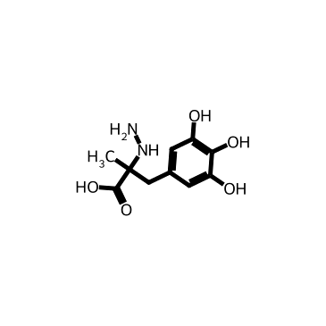 CC(Cc1cc(O)c(O)c(O)c1)(NN)C(=O)O